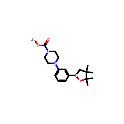 CC(C)(C)OC(=O)N1CCN(c2cccc(B3CC(C)(C)C(C)(C)O3)c2)CC1